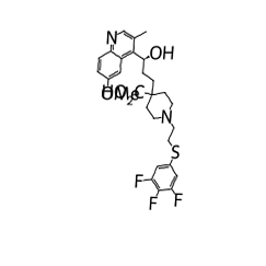 COc1ccc2ncc(C)c([C@@H](O)CCC3(C(=O)O)CCN(CCSc4cc(F)c(F)c(F)c4)CC3)c2c1